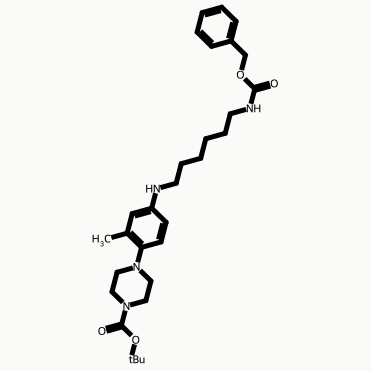 Cc1cc(NCCCCCCNC(=O)OCc2ccccc2)ccc1N1CCN(C(=O)OC(C)(C)C)CC1